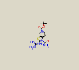 CC(C)(C)OC(=O)N1CCC2=C(C1)SC(NC(=N)N)N2C(N)=O